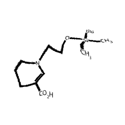 CC(C)(C)[Si](C)(C)OCCN1C=C(C(=O)O)CCC1